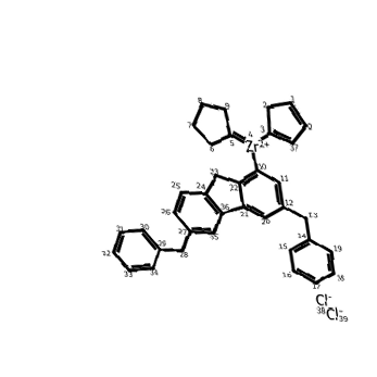 C1=CC[C]([Zr+2](=[C]2CCCC2)[c]2cc(Cc3ccccc3)cc3c2Cc2ccc(Cc4ccccc4)cc2-3)=C1.[Cl-].[Cl-]